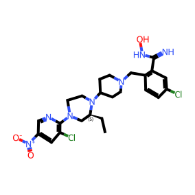 CC[C@H]1CN(c2ncc([N+](=O)[O-])cc2Cl)CCN1C1CCN(Cc2ccc(Cl)cc2C(=N)NO)CC1